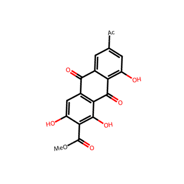 COC(=O)c1c(O)cc2c(c1O)C(=O)c1c(O)cc(C(C)=O)cc1C2=O